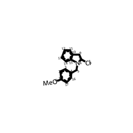 COc1ccc(CN2[C](Cl)Cc3ccccc32)cc1